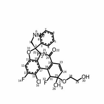 CNC[C@@]1(c2ccccc2)Cc2c(cc(F)c(Cl)c2C2=C(C(N)=O)C=CC(C)(OCCO)C2F)O1